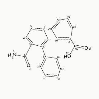 NC(=O)c1ccccc1-c1ccccc1.O=C(O)c1ccccc1